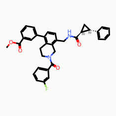 COC(=O)c1cccc(-c2ccc(CNC(=O)[C@H]3C[C@@H]3c3ccccc3)c3c2CCN(C(=O)c2cccc(F)c2)C3)c1